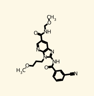 COCCCn1c(NC(=O)c2cccc(C#N)c2)nc2cc(C(=O)NCOC)cnc21